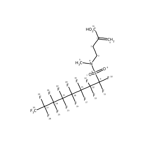 C=C(CCN(C)S(=O)(=O)C(F)(F)C(F)(F)C(F)(F)C(F)(F)C(F)(F)C(F)(F)C(F)(F)C(F)(F)F)C(=O)O